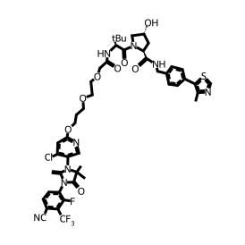 C=C1N(c2ccc(C#N)c(C(F)(F)F)c2F)C(=O)C(C)(C)N1c1cnc(OCCCOCCOCC(=O)N[C@H](C(=O)N2C[C@H](O)C[C@H]2C(=O)NCc2ccc(-c3scnc3C)cc2)C(C)(C)C)cc1Cl